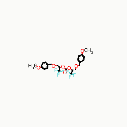 COc1ccc(COC[C@@H](OC(=O)O[C@H](COCc2ccc(OC)cc2)C(F)(F)F)C(F)(F)F)cc1